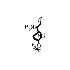 COC[C@@H](N)c1ccc(OC(F)(F)F)cc1.Cl